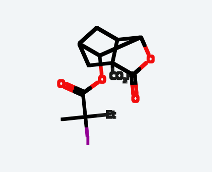 CCC(C)(I)C(=O)OC1C2CC3C1OC(=O)C3(C(=O)O)C2